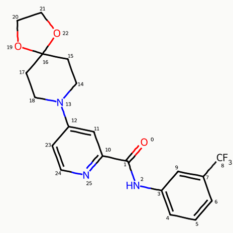 O=C(Nc1cccc(C(F)(F)F)c1)c1cc(N2CCC3(CC2)OCCO3)ccn1